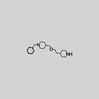 c1ccc(CN2CCC(COCCC3CCNCC3)CC2)cc1